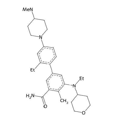 CCc1cc(N2CCC(NC)CC2)ccc1-c1cc(C(N)=O)c(C)c(N(CC)C2CCOCC2)c1